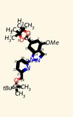 COc1cc(B2OC(C)(C)C(C)(C)O2)cc2c1cnn2-c1cccc(CO[Si](C)(C)C(C)(C)C)n1